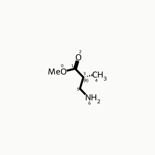 COC(=O)[C@H](C)CN